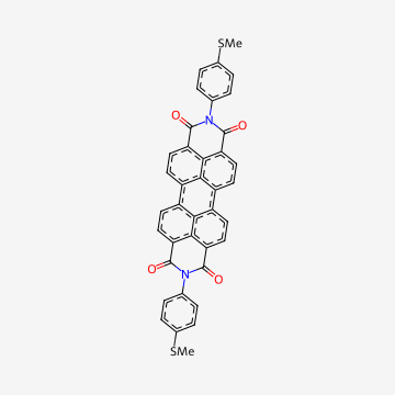 CSc1ccc(N2C(=O)c3ccc4c5ccc6c7c(ccc(c8ccc(c3c48)C2=O)c75)C(=O)N(c2ccc(SC)cc2)C6=O)cc1